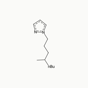 CCCCC(C)CCCn1cccn1